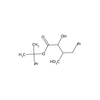 CC(C)CC(C(=O)O)C(O)C(=O)OC(C)(C)C(C)C